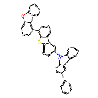 c1ccc(-c2ccc3c(c2)c2ccccc2n3-c2ccc3sc4c(-c5cccc6oc7ccccc7c56)cccc4c3c2)cc1